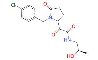 C[C@@H](O)CNC(=O)C(=O)C1CCC(=O)N1Cc1ccc(Cl)cc1